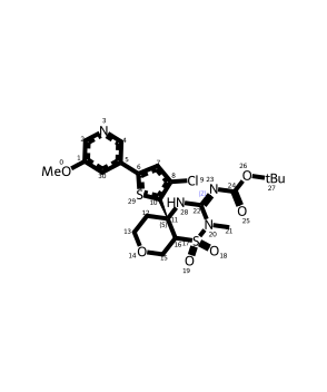 COc1cncc(-c2cc(Cl)c([C@]34CCOCC3S(=O)(=O)N(C)/C(=N\C(=O)OC(C)(C)C)N4)s2)c1